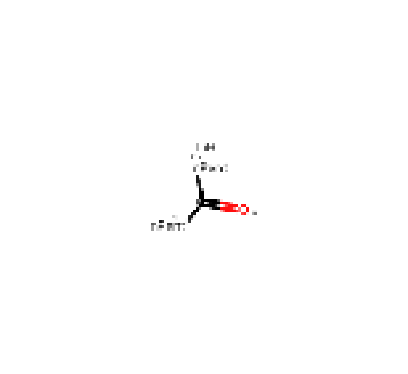 CCCCCC(=O)CCCCC.[LiH]